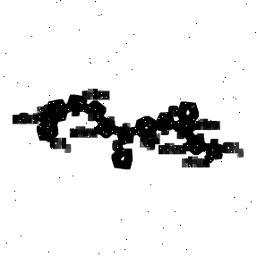 CCCCCCCCC1(CCCCCCCC)c2ccc(C)cc2-c2cc(-c3cc(CCCCCC)c(-c4ccc(-c5sc(-c6sc(-c7ccc(-c8cc(OC9CCCCC9)c(-c9cc(CCCCCC)c(-c%10sc(-c%11sc(C)cc%11CCCCCC)cc%10CCCCCC)s9)s8)c8nsnc78)cc6OC6CCCCC6)cc5CCCCCC)s4)s3)ccc21